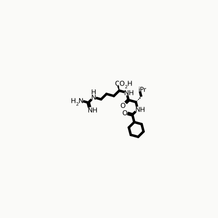 CC(C)C[C@H](NC(=O)C1CCCCC1)C(=O)N[C@@H](CCCNC(=N)N)C(=O)O